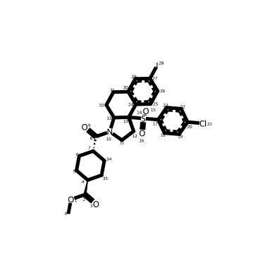 COC(=O)[C@H]1CC[C@H](C(=O)N2CCC3(S(=O)(=O)c4ccc(Cl)cc4)c4ccc(I)cc4CCC23)CC1